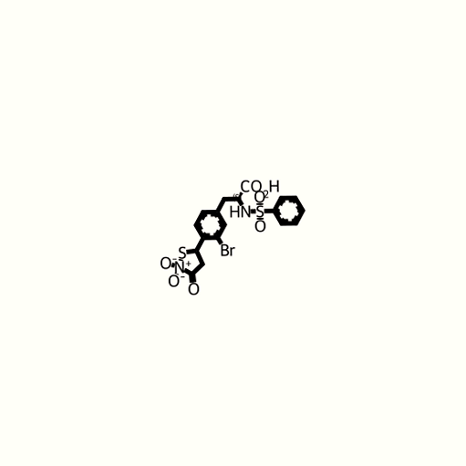 O=C(O)[C@H](Cc1ccc(C2CC(=O)[N+]([O-])([O-])S2)c(Br)c1)NS(=O)(=O)c1ccccc1